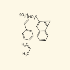 C=CC.O=S(=O)(O)C=Cc1ccccc1.O=S(=O)(O)c1cc2ccccc2c2c1C2